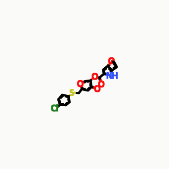 O=C(Oc1coc(CSc2ccc(Cl)cc2)cc1=O)c1cc2occc2[nH]1